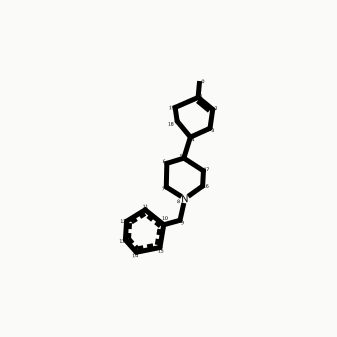 CC1=CCC(C2CCN(Cc3ccccc3)CC2)CC1